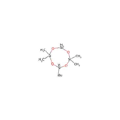 CCC(C)[SiH]1O[Si](C)(C)O[SiH2]O[Si](C)(C)O1